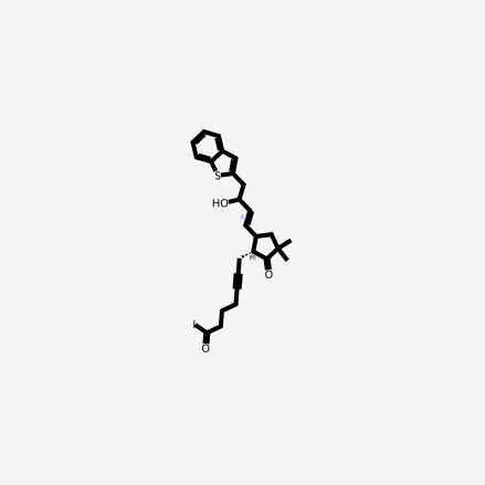 CC1(C)CC(/C=C/C(O)Cc2cc3ccccc3s2)[C@@H](CC#CCCCC(=O)I)C1=O